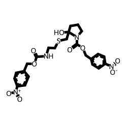 O=C(NCCSCC1(O)CCCN1C(=O)OCc1ccc([N+](=O)[O-])cc1)OCc1ccc([N+](=O)[O-])cc1